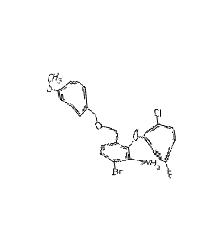 COc1ccc(COCc2ccc(Br)c(N)c2Oc2cc(F)ccc2Cl)cc1